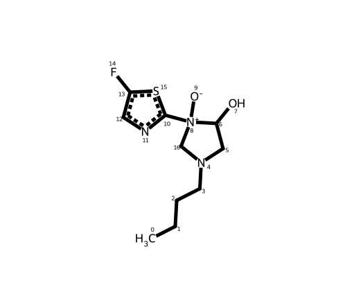 CCCCN1CC(O)[N+]([O-])(c2ncc(F)s2)C1